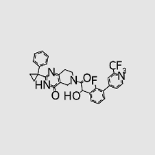 O=C(C(O)c1cccc(-c2ccnc(C(F)(F)F)c2)c1F)N1CCc2nc(C3(c4ccccc4)CC3)[nH]c(=O)c2C1